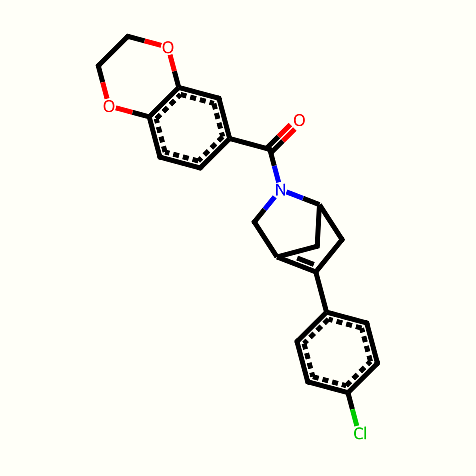 O=C(c1ccc2c(c1)OCCO2)N1CC2=C(c3ccc(Cl)cc3)CC1C2